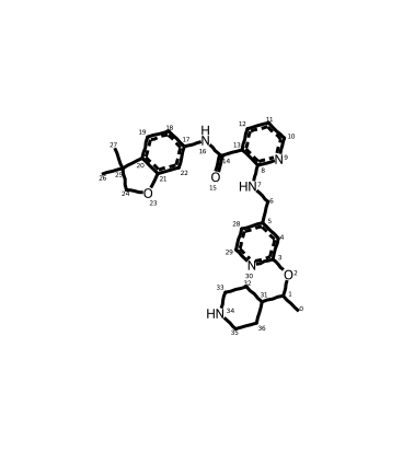 CC(Oc1cc(CNc2ncccc2C(=O)Nc2ccc3c(c2)OCC3(C)C)ccn1)C1CCNCC1